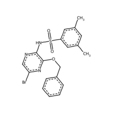 Cc1cc(C)cc(S(=O)(=O)Nc2ncc(Br)nc2OCc2ccccc2)c1